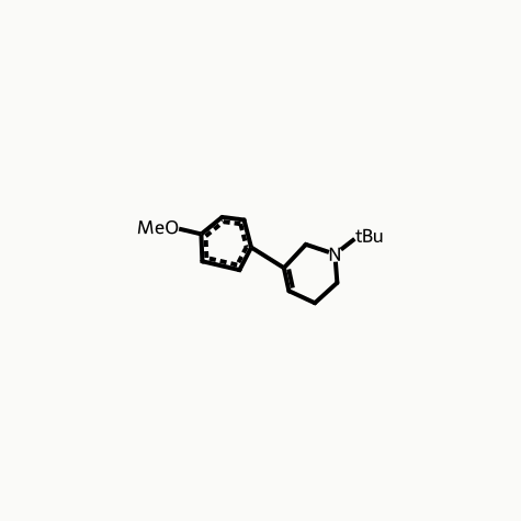 COc1ccc(C2=CCCN(C(C)(C)C)C2)cc1